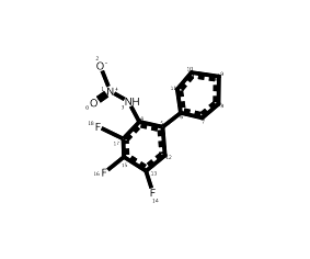 O=[N+]([O-])Nc1c(-c2ccccc2)cc(F)c(F)c1F